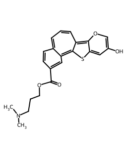 CN(C)CCCOC(=O)c1ccc2c(c1)=c1sc3c(c1C=CC=2)OC=C(O)C=3